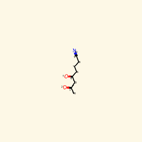 CC(=O)CC(=O)CCCC#N